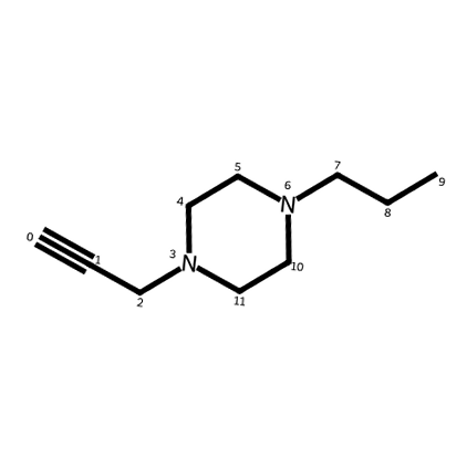 C#CCN1CCN(CCC)CC1